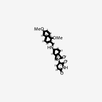 COc1ccc2c(OC)c(CNc3ccc4c(c3)CN(C3CCC(=O)NC3=O)C4=O)ccc2c1